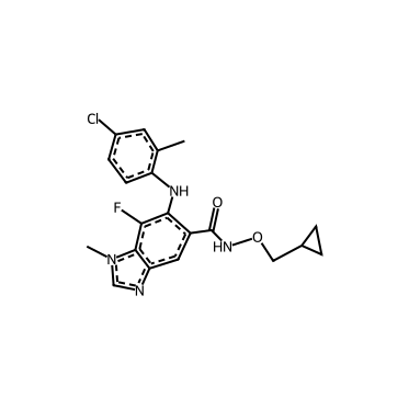 Cc1cc(Cl)ccc1Nc1c(C(=O)NOCC2CC2)cc2ncn(C)c2c1F